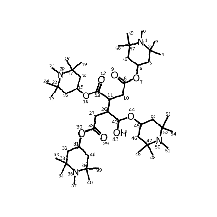 CN1C(C)(C)CC(OC(=O)CC(C(=O)OC2CC(C)(C)N(C)C(C)(C)C2)C(CC(=O)OC2CC(C)(C)N(C)C(C)(C)C2)C(O)OC2CC(C)(C)N(C)C(C)(C)C2)CC1(C)C